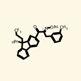 CCCC1(CCC(F)(F)F)c2ccccc2-c2ccc(C(=O)/C(Cc3cccc(C)c3)=N/OC(C)=O)cc21